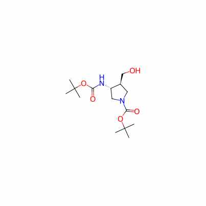 CC(C)(C)OC(=O)N[C@H]1CN(C(=O)OC(C)(C)C)C[C@@H]1CO